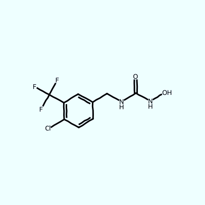 O=C(NO)NCc1ccc(Cl)c(C(F)(F)F)c1